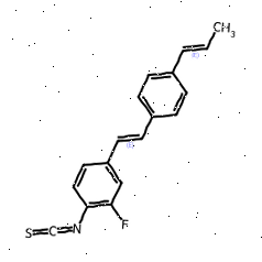 C/C=C/c1ccc(/C=C/c2ccc(N=C=S)c(F)c2)cc1